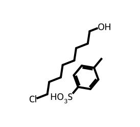 Cc1ccc(S(=O)(=O)O)cc1.OCCCCCCCCCl